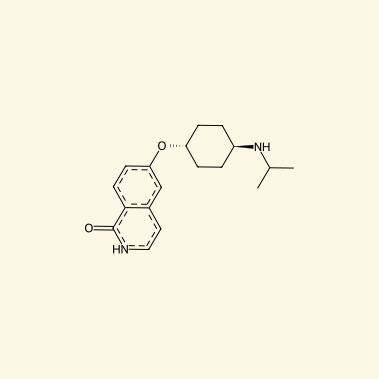 CC(C)N[C@H]1CC[C@H](Oc2ccc3c(=O)[nH]ccc3c2)CC1